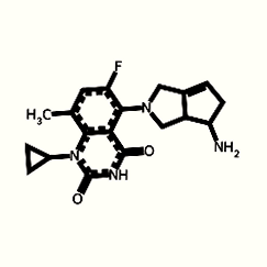 Cc1cc(F)c(N2CC3=CCC(N)C3C2)c2c(=O)[nH]c(=O)n(C3CC3)c12